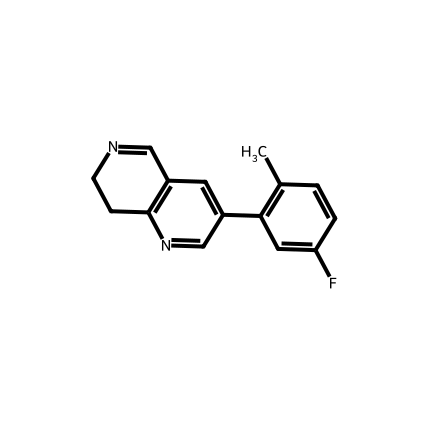 Cc1ccc(F)cc1-c1cnc2c(c1)C=NCC2